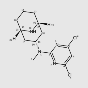 CN(c1nc(Cl)cc(Cl)n1)[C@H]1C[C@H]2CCC[C@@H](C1)N2